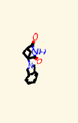 O=C1NC(=O)C2(N3Cc4ccccc4C3)CC1C2